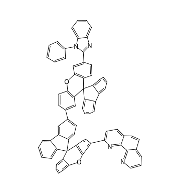 c1ccc(-n2c(-c3ccc4c(c3)Oc3ccc(-c5ccc6c(c5)-c5ccccc5C65c6ccccc6Oc6cc(-c7ccc8ccc9cccnc9c8n7)ccc65)cc3C43c4ccccc4-c4ccccc43)nc3ccccc32)cc1